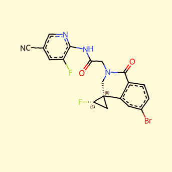 N#Cc1cnc(NC(=O)CN2C[C@@]3(C[C@@H]3F)c3cc(Br)ccc3C2=O)c(F)c1